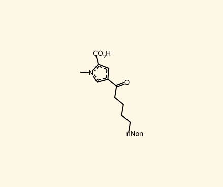 CCCCCCCCCCCCCC(=O)c1cc(C(=O)O)n(C)c1